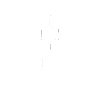 C=C(C)Oc1ccc(Br)cc1